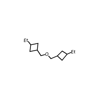 CCC1CC(COCC2CC(CC)C2)C1